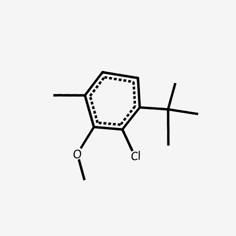 COc1c(C)ccc(C(C)(C)C)c1Cl